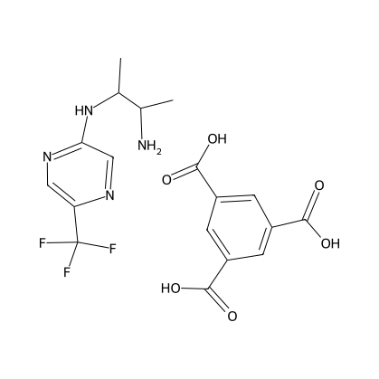 CC(N)C(C)Nc1cnc(C(F)(F)F)cn1.O=C(O)c1cc(C(=O)O)cc(C(=O)O)c1